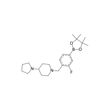 CC1(C)OB(c2ccc(CN3CCC(N4CCCC4)CC3)c(F)c2)OC1(C)C